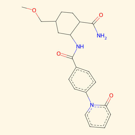 COCC1CCC(C(N)=O)C(NC(=O)c2ccc(-n3ccccc3=O)cc2)C1